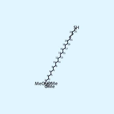 CO[Si](CCCCCCCCCCCCCCCCCCCCCCCCS)(OC)OC